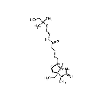 CCC12CS[C@@H](CCCCC(=O)NCCOC(C)(C)CO)[C@@H]1NC(=O)N2C